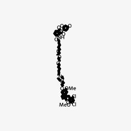 C#Cc1ccc2cc(OCCCN3CCN(CCCCCCOCCOCCOCCCCCC(=O)Nc4cccc5c4C(=O)N(C4CCC(=O)CC4=O)C5=O)CC3)c(OC)cc2c1Cc1cc(OC)c(Cl)cc1Cl